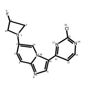 FC1CN(c2ccc3ncc(-c4ccnc(Cl)n4)n3c2)C1